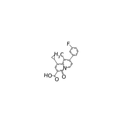 Cc1c(-c2cccc(F)c2)ccn2c(=O)c(C(=O)O)cc(C3CC3)c12